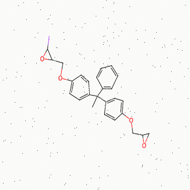 CC(c1ccccc1)(c1ccc(OCC2CO2)cc1)c1ccc(OCC2OC2I)cc1